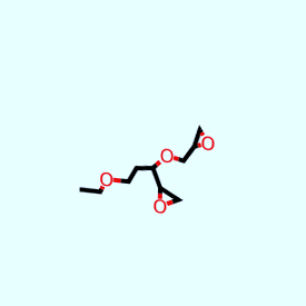 CCOCCC(OCC1CO1)C1CO1